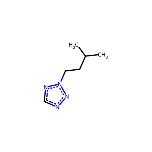 CC(C)CCn1ncnn1